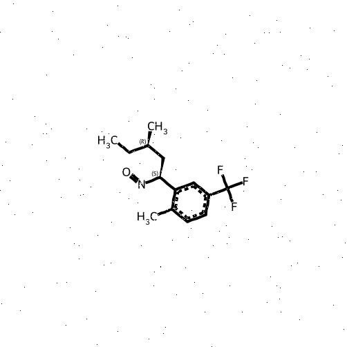 CC[C@@H](C)C[C@H](N=O)c1cc(C(F)(F)F)ccc1C